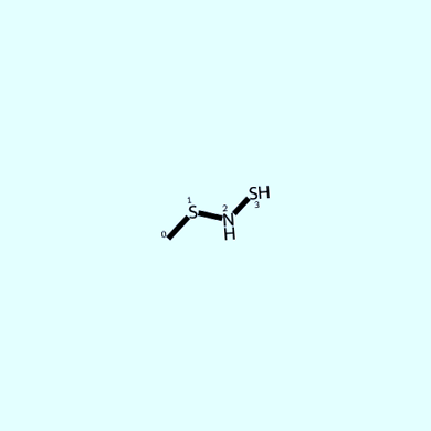 CSNS